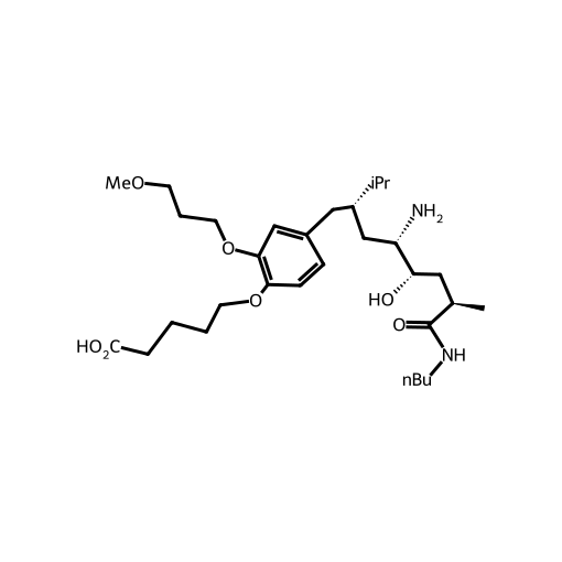 CCCCNC(=O)[C@H](C)C[C@H](O)[C@@H](N)C[C@H](Cc1ccc(OCCCCC(=O)O)c(OCCCOC)c1)C(C)C